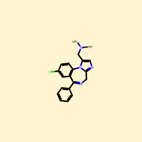 CCCN(CCC)Cc1cnc2n1-c1ccc(Cl)cc1C(c1ccccc1)=NC2